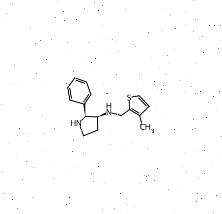 Cc1ccsc1CN[C@H]1CCN[C@H]1c1ccccc1